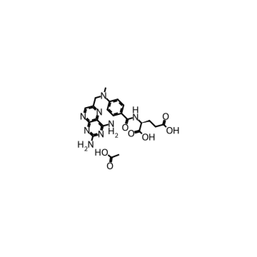 CC(=O)O.CN(Cc1cnc2nc(N)nc(N)c2n1)c1ccc(C(=O)N[C@@H](CCC(=O)O)C(=O)O)cc1